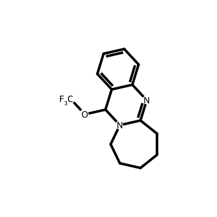 FC(F)(F)OC1c2ccccc2N=C2CCCCCN21